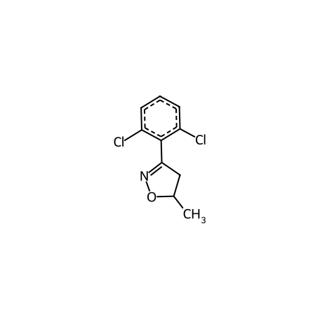 CC1CC(c2c(Cl)cccc2Cl)=NO1